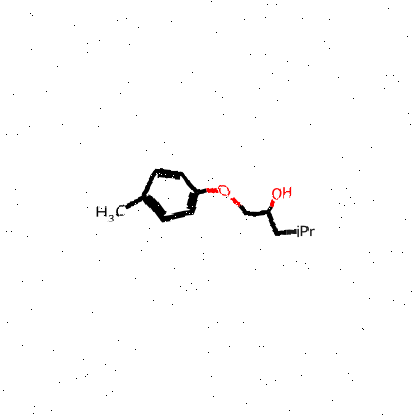 Cc1ccc(OCC(O)CC(C)C)cc1